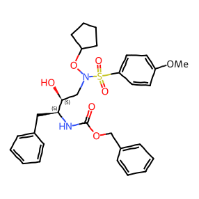 COc1ccc(S(=O)(=O)N(C[C@H](O)[C@H](Cc2ccccc2)NC(=O)OCc2ccccc2)OC2CCCC2)cc1